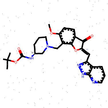 COc1ccc2c(c1CN1CCC[C@H](NC(=O)OC(C)(C)C)C1)O/C(=C\c1n[nH]c3ncccc13)C2=O